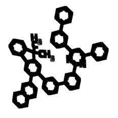 CC1(C)c2ccccc2-c2cc(-c3ccc4ccccc4c3)c(-c3cccc(-c4cccc(-c5nc(-c6ccccc6)cc(-c6cccc(-c7ccccc7)c6)n5)c4)c3)cc21